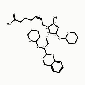 O=C(O)CCC/C=C\C[C@@H]1[C@@H](CC[C@H](OC2CCCCO2)C2OCc3ccccc3O2)[C@H](OC2CCCCO2)C[C@@H]1O